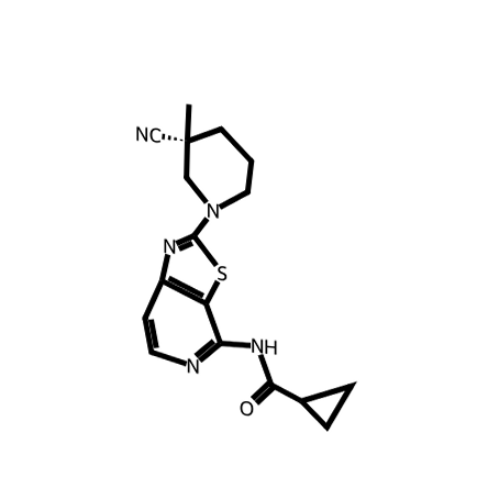 C[C@@]1(C#N)CCCN(c2nc3ccnc(NC(=O)C4CC4)c3s2)C1